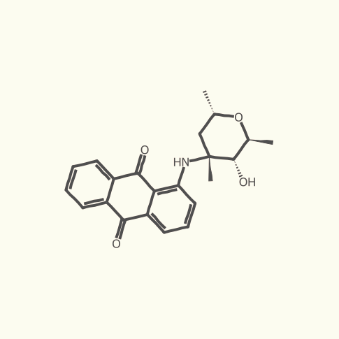 C[C@@H]1O[C@@H](C)C[C@@](C)(Nc2cccc3c2C(=O)c2ccccc2C3=O)[C@H]1O